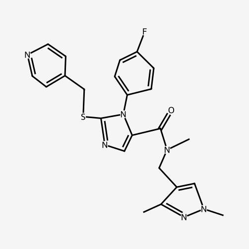 Cc1nn(C)cc1CN(C)C(=O)c1cnc(SCc2ccncc2)n1-c1ccc(F)cc1